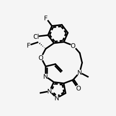 C=C/C1=N\c2c(cnn2C)C(=O)N(C)CCOc2ccc(F)c(Cl)c2[C@@H](CF)O1